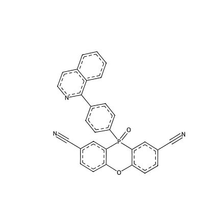 N#Cc1ccc2c(c1)P(=O)(c1ccc(-c3nccc4ccccc34)cc1)c1cc(C#N)ccc1O2